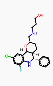 OCCCNC[C@H]1CC[C@@H]2[C@H](O1)c1cc(Cl)cc(F)c1N[C@H]2c1ccccc1